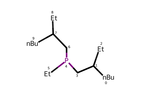 CCCCC(CC)CP(CC)CC(CC)CCCC